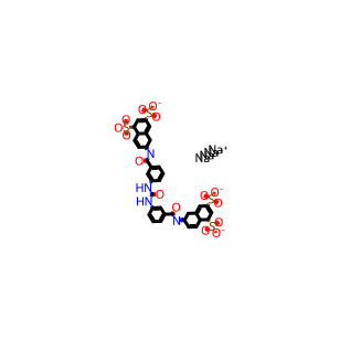 O=C(Nc1cccc(C(=O)N=C2C=CC3C(=CC(S(=O)(=O)[O-])=CC3S(=O)(=O)[O-])C2)c1)Nc1cccc(C(=O)N=C2C=CC3C(=CC(S(=O)(=O)[O-])=CC3S(=O)(=O)[O-])C2)c1.[Na+].[Na+].[Na+].[Na+]